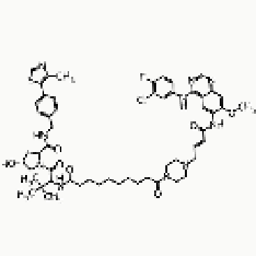 COc1cc2ncnc(Nc3ccc(F)c(Cl)c3)c2cc1NC(=O)/C=C/CN1CCN(C(=O)CCCCCCCCC(=O)NC(C(=O)N2C[C@H](O)C[C@H]2C(=O)NCc2ccc(-c3scnc3C)cc2)C(C)(C)C)CC1